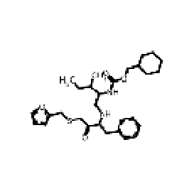 CCC(C)C(CNC(Cc1ccccc1)C(=O)CSCc1ccco1)NC(=O)OCC1CCCCC1